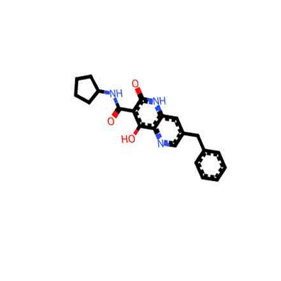 O=C(NC1CCCC1)c1c(O)c2ncc(Cc3ccccc3)cc2[nH]c1=O